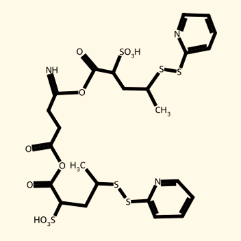 CC(CC(C(=O)OC(=N)CCC(=O)OC(=O)C(CC(C)SSc1ccccn1)S(=O)(=O)O)S(=O)(=O)O)SSc1ccccn1